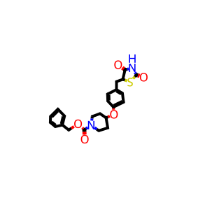 O=C1NC(=O)C(Cc2ccc(OC3CCN(C(=O)OCc4ccccc4)CC3)cc2)S1